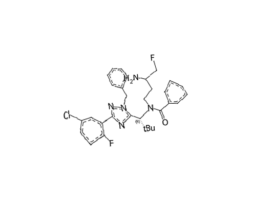 CC(C)(C)[C@H](c1nc(-c2cc(Cl)ccc2F)nn1Cc1ccccc1)N(CCC(N)CF)C(=O)c1ccccc1